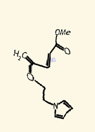 C=C(/C=C/C(=O)OC)OCCn1cccc1